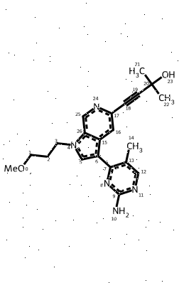 COCCCn1cc(-c2nc(N)ncc2C)c2cc(C#CC(C)(C)O)ncc21